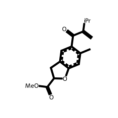 C=C(C(=O)c1cc2c(cc1C)OC(C(=O)OC)C2)C(C)C